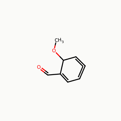 COC1C=C=CC=C1C=O